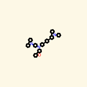 c1ccc(-n2c3ccccc3c3cc(-c4ccc(-c5ccc(N(c6ccc(-n7c8ccccc8c8ccccc87)cc6)c6ccc7oc8ccccc8c7c6)cc5)cc4)ccc32)cc1